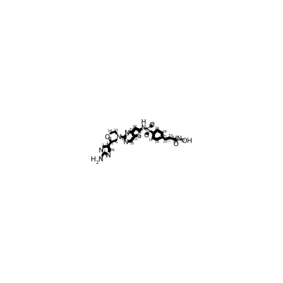 Nc1ncc(C2CN(c3ncc4sc(NS(=O)(=O)c5ccc(/C=C/C(=O)NO)cc5)cc4n3)CCO2)cn1